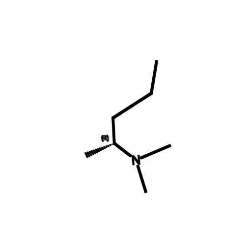 CCC[C@@H](C)N(C)C